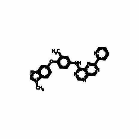 Cc1cc(Nc2ncnc3cnc(-c4ccccn4)nc23)ccc1Oc1ccc2c(c1)ncn2C